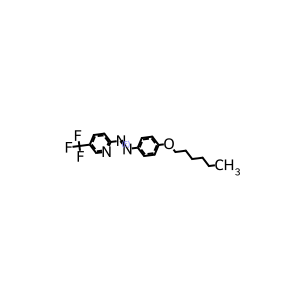 CCCCCCOc1ccc(/N=N/c2ccc(C(F)(F)F)cn2)cc1